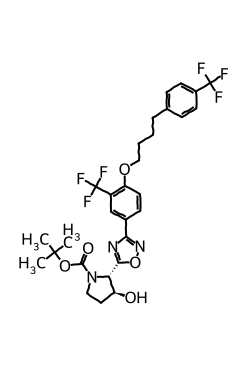 CC(C)(C)OC(=O)N1CC[C@H](O)[C@H]1c1nc(-c2ccc(OCCCCc3ccc(C(F)(F)F)cc3)c(C(F)(F)F)c2)no1